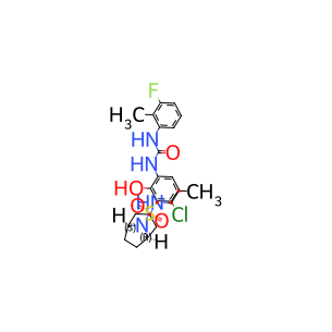 CCCNC1C[C@H]2CC[C@@H](C1)N2S(=O)(=O)c1c(Cl)ccc(NC(=O)Nc2cccc(F)c2C)c1O